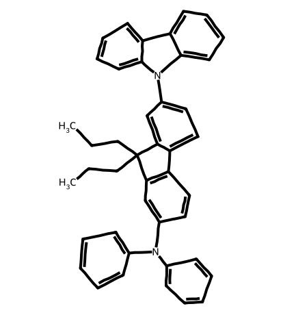 CCCC1(CCC)c2cc(N(c3ccccc3)c3ccccc3)ccc2-c2ccc(-n3c4ccccc4c4ccccc43)cc21